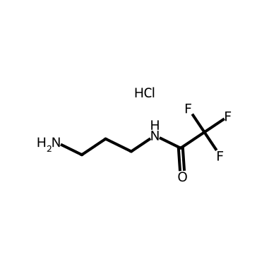 Cl.NCCCNC(=O)C(F)(F)F